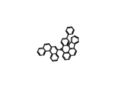 c1ccc(-c2ccc(N(c3cc4ccc5ccccc5c4c4ccccc34)c3cccc4ccc5c6ccccc6oc5c34)cc2)cc1